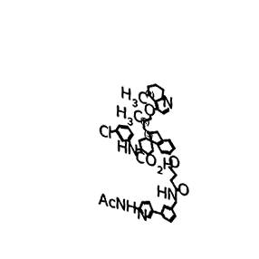 CC(=O)Nc1ccc(-c2cccc(CNC(=O)CCCOc3ccc4c(c3)C3(CCC(Nc5cccc(Cl)c5)(C(=O)O)CC3)[C@@H](C[C@@H](C)COc3ccnc5c3[C@H](C)CCC5)C4)c2)cn1